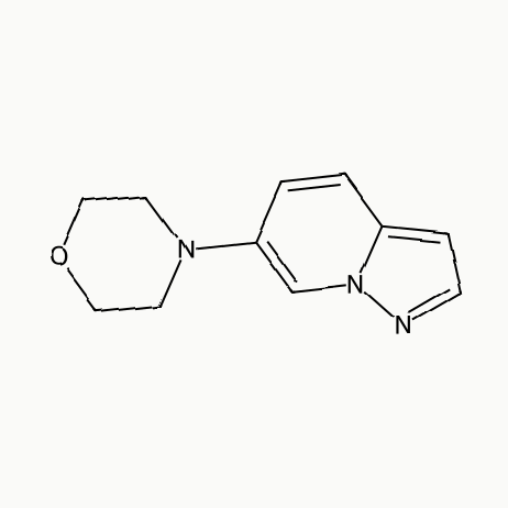 c1cc2ccc(N3CCOCC3)cn2n1